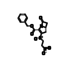 O=C(OCc1ccccc1)C1=C([S+]([O-])CC[N+](=O)[O-])CC2CC(=O)N12